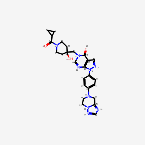 O=C(C1CC1)N1CCC(O)(Cn2cnc3c(cnn3-c3ccc(N4CCn5ncnc5C4)cc3)c2=O)CC1